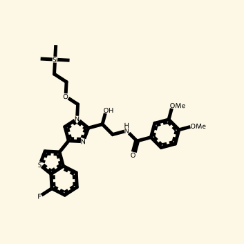 COc1ccc(C(=O)NCC(O)c2nc(-c3csc4c(F)cccc34)cn2COCC[Si](C)(C)C)cc1OC